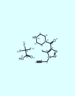 C#CCn1nnc(C(=O)N2CCNCC2)c1C.O=C(O)C(F)(F)F